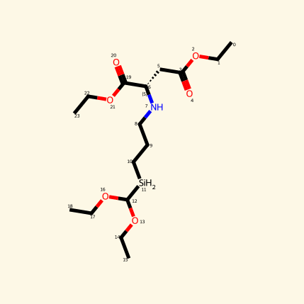 CCOC(=O)C[C@H](NCCC[SiH2]C(OCC)OCC)C(=O)OCC